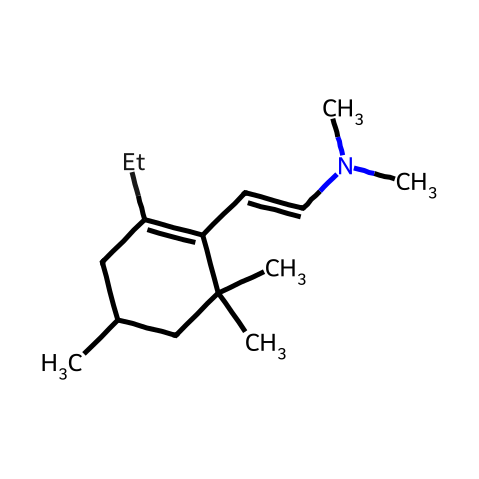 CCC1=C(C=CN(C)C)C(C)(C)CC(C)C1